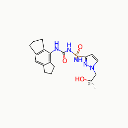 C[C@H](O)Cn1ccc(S(=N)(=O)NC(=O)Nc2c3c(cc4c2CCC4)CCC3)n1